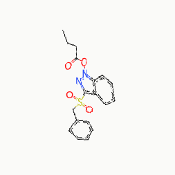 CCCC(=O)On1nc(S(=O)(=O)Cc2ccccc2)c2ccccc21